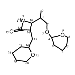 CC(COC1CCCCO1)C1NC(=O)C1CC1CCCCO1